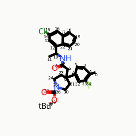 Cc1ccc(C2(CC(=O)NC(C)c3cc(Cl)cc4ccccc34)CCN(C(=O)OC(C)(C)C)CC2)cc1F